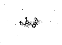 C[C@H](c1cc(C(=O)Nc2cccc(C3(C(F)c4nncn4C)COC3)c2)nc(C2CC2)c1)N1CCC2(CC2)C1